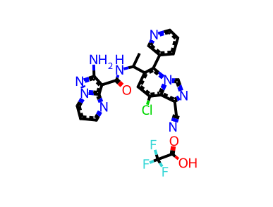 CC(NC(=O)c1c(N)nn2cccnc12)c1cc(Cl)c2c(C#N)ncn2c1-c1cccnc1.O=C(O)C(F)(F)F